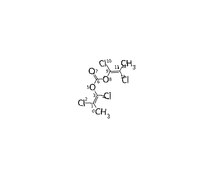 CC(Cl)=C(Cl)OC(=O)OC(Cl)=C(C)Cl